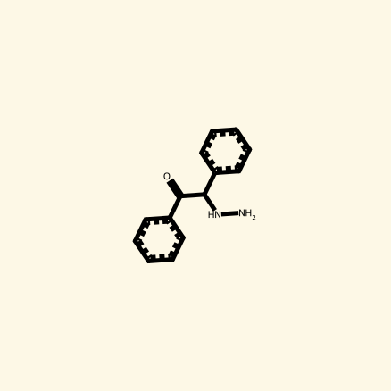 NNC(C(=O)c1ccccc1)c1ccccc1